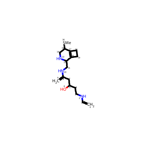 C=CNCCC(O)CC(=C)NCC1NCC(SC)C2=C1CC2